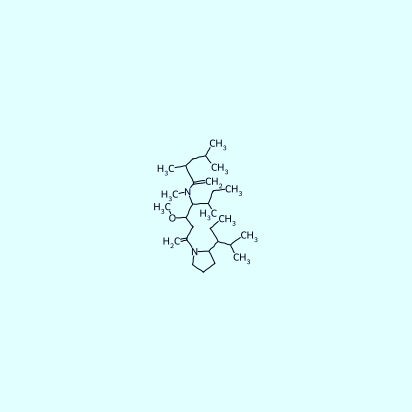 C=C(C(C)CC(C)C)N(C)C(C(C)CC)C(CC(=C)N1CCCC1C(CC)C(C)C)OC